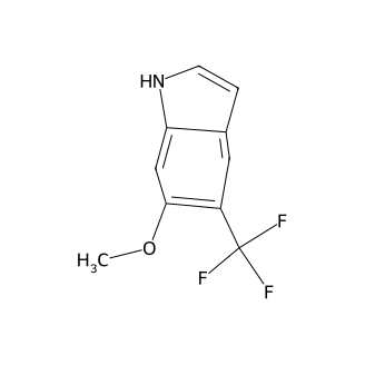 COc1cc2[nH]ccc2cc1C(F)(F)F